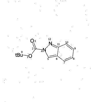 CC(C)(C)OC(=O)n1cc2ccccc2n1